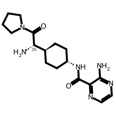 Nc1nccnc1C(=O)N[C@H]1CC[C@H]([C@H](N)C(=O)N2CCCC2)CC1